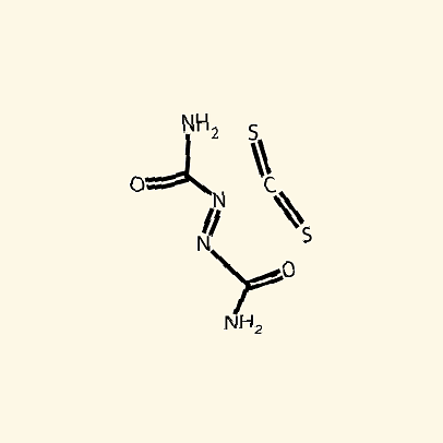 NC(=O)/N=N/C(N)=O.S=C=S